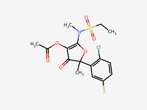 CCS(=O)(=O)N(C)C1=C(OC(C)=O)C(=O)C(C)(c2cc(F)ccc2Cl)O1